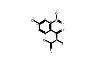 CN(C(=O)Cl)C(=O)c1ccc(Cl)cc1[N+](=O)[O-]